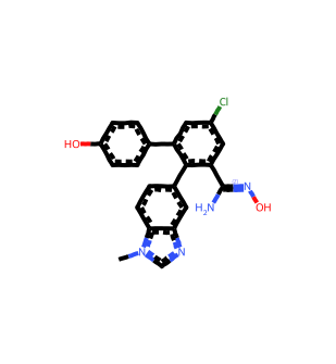 Cn1cnc2cc(-c3c(/C(N)=N/O)cc(Cl)cc3-c3ccc(O)cc3)ccc21